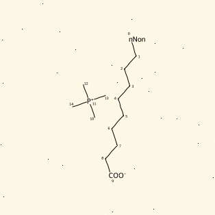 CCCCCCCCCCCCCCCCCC(=O)[O-].C[P+](C)(C)C